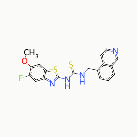 COc1cc2sc(NC(=S)NCc3cccc4cnccc34)nc2cc1F